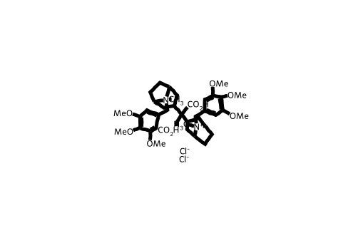 COc1cc(C[N+]2(C)C3CCC2CC(C(CC(=O)O)(C(=O)O)C2CC4CCC(C2)[N+]4(C)Cc2cc(OC)c(OC)c(OC)c2)C3)cc(OC)c1OC.[Cl-].[Cl-]